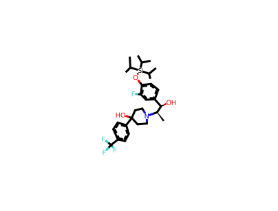 CC(C)[Si](Oc1ccc([C@@H](O)[C@@H](C)N2CCC(O)(c3ccc(C(F)(F)F)cc3)CC2)cc1F)(C(C)C)C(C)C